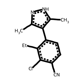 CCc1c(-c2c(C)n[nH]c2C)ccc(C#N)c1Cl